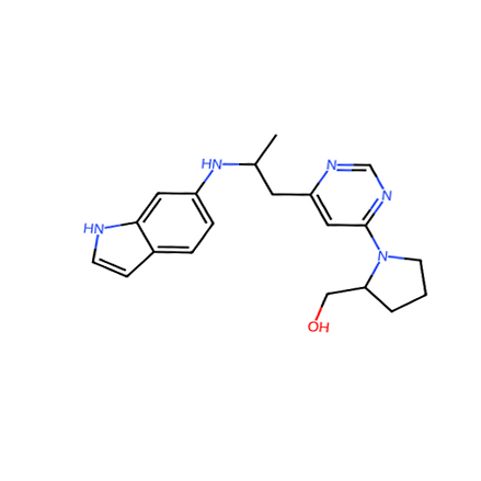 CC(Cc1cc(N2CCCC2CO)ncn1)Nc1ccc2cc[nH]c2c1